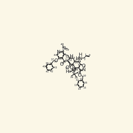 C=CCN[C@@H]1c2onc(OCc3ccccc3)c2C(=O)C2(O[Si](C)(C)C(C)(C)C)C(O)=C3C(=O)c4c(OCc5ccccc5)cnc(N(C)C)c4C[C@H]3C[C@@H]12